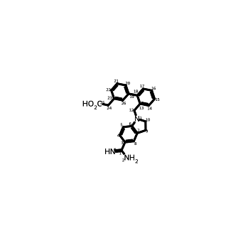 N=C(N)c1ccc2c(c1)CCN2Cc1ccccc1-c1cccc(CC(=O)O)c1